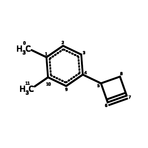 Cc1ccc(C2C#CC2)cc1C